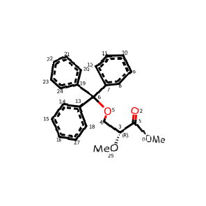 COC(=O)[C@@H](COC(c1ccccc1)(c1ccccc1)c1ccccc1)OC